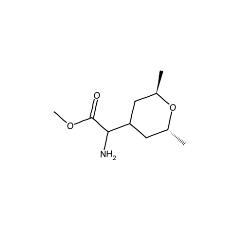 COC(=O)C(N)C1C[C@@H](C)O[C@H](C)C1